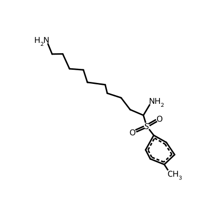 Cc1ccc(S(=O)(=O)C(N)CCCCCCCCCN)cc1